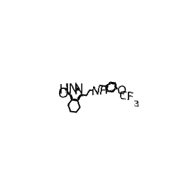 O=c1[nH]nc(CCNCc2ccc(OC(F)(F)F)cc2)c2c1CCCC2